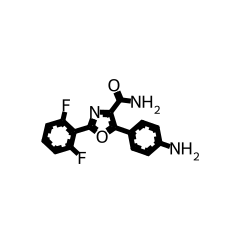 NC(=O)c1nc(-c2c(F)cccc2F)oc1-c1ccc(N)cc1